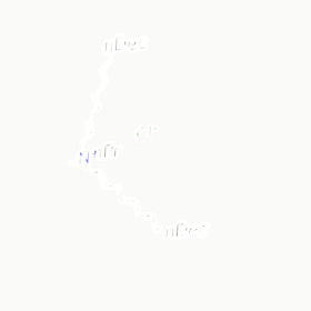 CCCCCCCCCCCCCCCCCCC[N+](C)(CCC)CCCCCCCCCCCCCCCCCC.[Cl-]